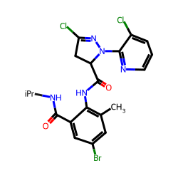 Cc1cc(Br)cc(C(=O)NC(C)C)c1NC(=O)C1CC(Cl)=NN1c1ncccc1Cl